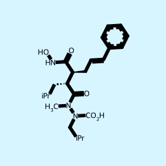 CC(C)C[C@@H](C(=O)N(C)N(CC(C)C)C(=O)O)[C@H](CC=Cc1ccccc1)C(=O)NO